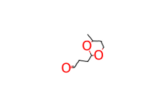 CC1CCOC(CCC=O)O1